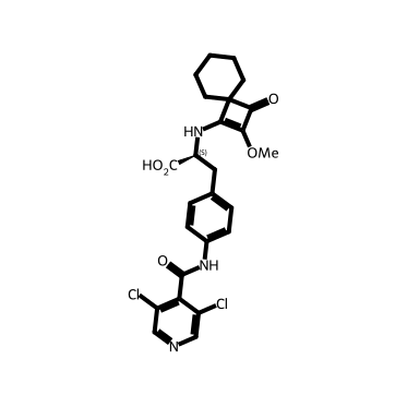 COC1=C(N[C@@H](Cc2ccc(NC(=O)c3c(Cl)cncc3Cl)cc2)C(=O)O)C2(CCCCC2)C1=O